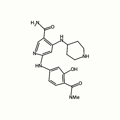 CNC(=O)c1ccc(Nc2cc(NC3CCNCC3)c(C(N)=O)cn2)cc1O